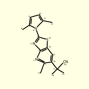 Cc1nc2nc(-n3c(C)ccc3C)sc2cc1C(C)(C)C#N